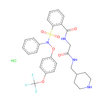 Cl.O=C(CNC(=O)c1ccccc1S(=O)(=O)N(Oc1ccc(OC(F)(F)F)cc1)c1ccccc1)NCC1CCNCC1